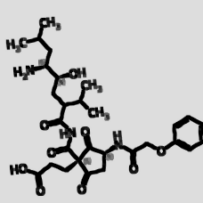 CC(C)C[C@H](N)[C@@H](O)CC(C(=O)NC(=O)[C@@]1(CCC(=O)O)C(=O)C[C@H](NC(=O)COc2ccccc2)C1=O)C(C)C